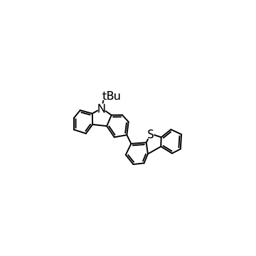 CC(C)(C)n1c2ccccc2c2cc(-c3cccc4c3sc3ccccc34)ccc21